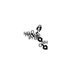 CC(C)C(C(=O)NO)N(CCN1CCOCC1)S(=O)(=O)c1ccc(NC(=O)c2ccccc2)cc1